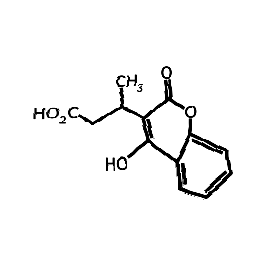 CC(CC(=O)O)c1c(O)c2ccccc2oc1=O